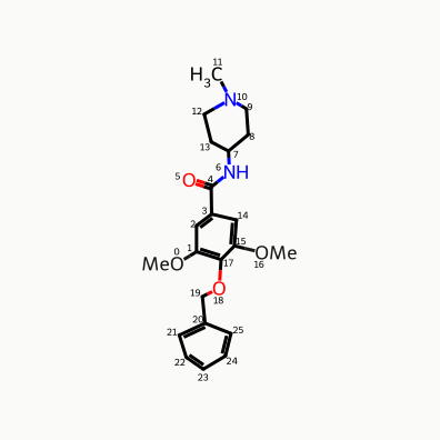 COc1cc(C(=O)NC2CCN(C)CC2)cc(OC)c1OCc1ccccc1